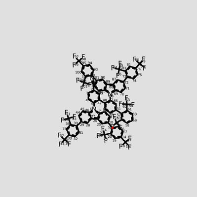 N#Cc1ccc(-n2c3ccc(-c4ccc(C(F)(F)F)cc4C(F)(F)F)cc3c3cc(-c4ccc(C(F)(F)F)cc4C(F)(F)F)ccc32)c(-c2ccc(-c3c(C(F)(F)F)cccc3C(F)(F)F)cc2-n2c3ccc(-c4ccc(C(F)(F)F)cc4C(F)(F)F)cc3c3cc(-c4ccc(C(F)(F)F)cc4C(F)(F)F)ccc32)c1